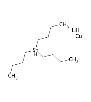 CCC[CH2][SnH]([CH2]CCC)[CH2]CCC.[Cu].[LiH]